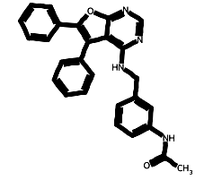 CC(=O)Nc1cccc(CNc2ncnc3oc(-c4ccccc4)c(-c4ccccc4)c23)c1